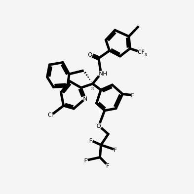 Cc1ccc(C(=O)N[C@@](Cc2ccccc2)(c2cc(F)cc(OCC(F)(F)C(F)F)c2)c2ccc(Cl)cn2)cc1C(F)(F)F